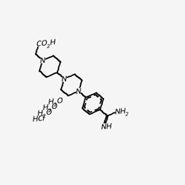 Cl.N=C(N)c1ccc(N2CCN(C3CCN(CC(=O)O)CC3)CC2)cc1.O.O.O